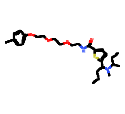 CCCC(c1ccc(C(=O)NCCOCCOCCOc2ccc(C)cc2)s1)N(C)C(C)CC